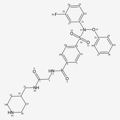 O=C(CNC(=O)c1ccc(S(=O)(=O)N(Oc2ccccc2)c2cccc(F)c2)cc1)NCC1CCNCC1